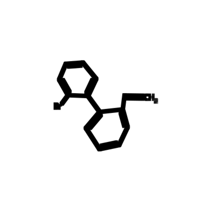 C=Cc1ccccc1-c1ccccc1Br